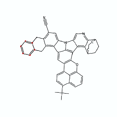 CC(C)(C)c1ccc2c3cc4c5c6c(c(C#N)cc5n5c7cnc8c(c7c(c3oc3cccc1c32)c45)C1CCCC8CC1)C1c2ccccc2C6c2ccccc21